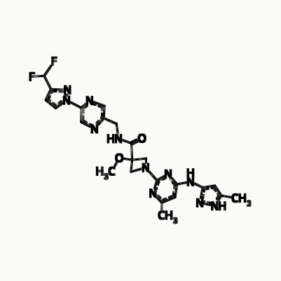 COC1(C(=O)NCc2cnc(-n3ccc(C(F)F)n3)cn2)CN(c2nc(C)cc(Nc3cc(C)[nH]n3)n2)C1